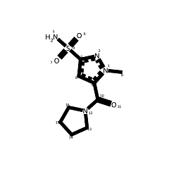 Cn1nc(S(N)(=O)=O)cc1C(=O)N1CCCC1